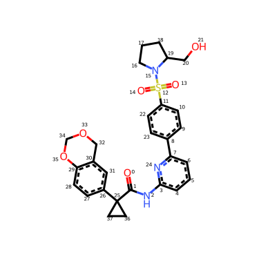 O=C(Nc1cccc(-c2ccc(S(=O)(=O)N3CCCC3CO)cc2)n1)C1(c2ccc3c(c2)COCO3)CC1